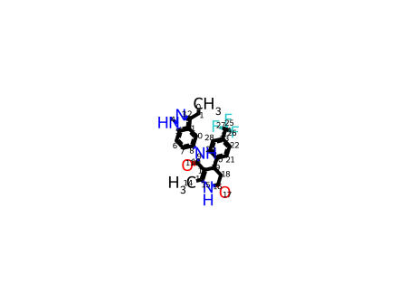 CCc1n[nH]c2ccc(NC(=O)C3=C(C)NC(=O)CC3c3ccc(C(F)(F)F)cc3)cc12